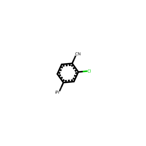 CC(C)c1ccc(C#N)c(Cl)c1